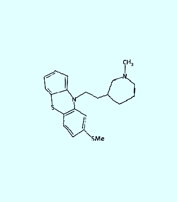 CSc1ccc2c(c1)N(CCC1CCCN(C)C1)c1ccccc1S2